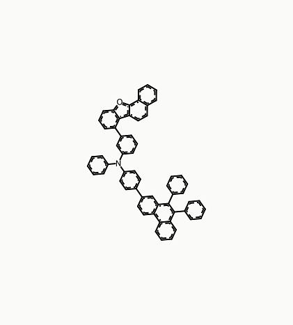 c1ccc(-c2c(-c3ccccc3)c3cc(-c4ccc(N(c5ccccc5)c5cccc(-c6cccc7oc8c9ccccc9ccc8c67)c5)cc4)ccc3c3ccccc23)cc1